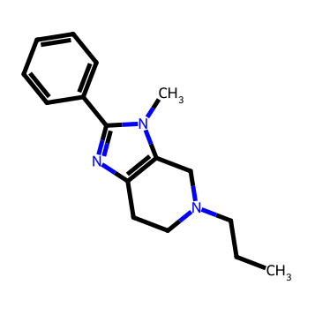 CCCN1CCc2nc(-c3ccccc3)n(C)c2C1